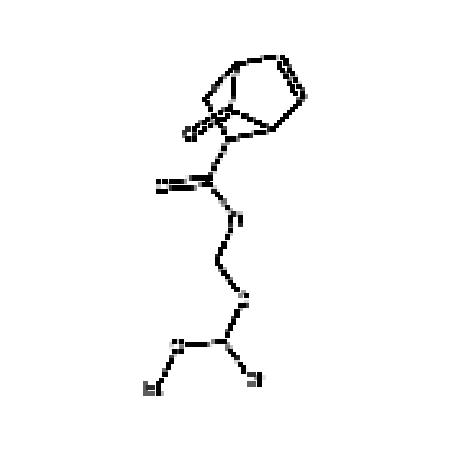 CCOC(CC)OCOC(=O)C1CC2C=CC1C2=O